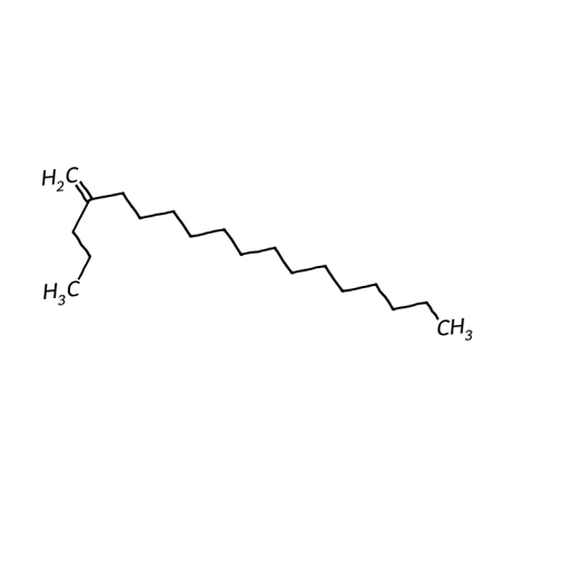 C=C(CCC)CCCCCCCCCCCCCC